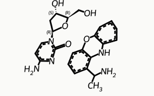 CC(N)c1cccc2c1Nc1ccccc1O2.Nc1ccn([C@H]2C[C@H](O)[C@@H](CO)O2)c(=O)n1